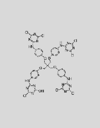 Oc1nc(Cl)nc(Nc2ccc(OCC(COc3ccc(Nc4nc(Cl)nc(Cl)n4)cc3)(COc3ccc(Nc4nc(Cl)nc(Cl)n4)cc3)COc3ccc(Nc4nc(Cl)nc(Cl)n4)cc3)cc2)n1